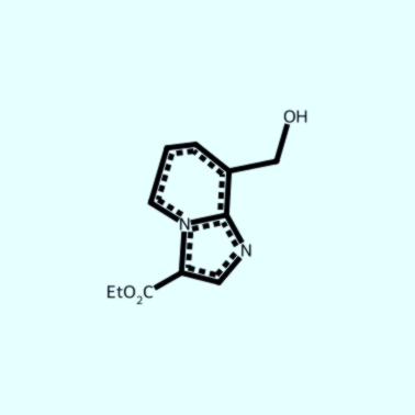 CCOC(=O)c1cnc2c(CO)cccn12